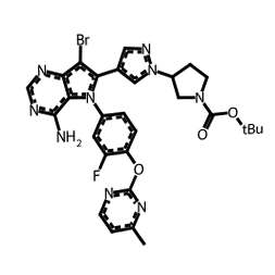 Cc1ccnc(Oc2ccc(-n3c(-c4cnn(C5CCN(C(=O)OC(C)(C)C)C5)c4)c(Br)c4ncnc(N)c43)cc2F)n1